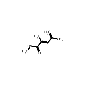 C=C(C)/C=C(\C)C(=O)NC